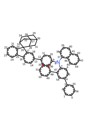 c1ccc(-c2ccc(N(c3ccc(-c4ccc5c(c4)C4(c6ccccc6-5)C5CC6CC(C5)CC4C6)cc3)c3cccc4ccccc34)c(-c3ccccc3)c2)cc1